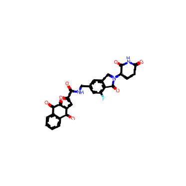 O=C1CCC(N2Cc3cc(CNC(=O)c4cc5c(o4)C(=O)c4ccccc4C5=O)cc(F)c3C2=O)C(=O)N1